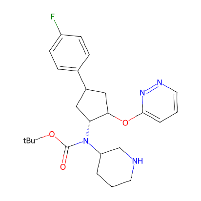 CC(C)(C)OC(=O)N(C1CCCNC1)[C@@H]1CC(c2ccc(F)cc2)CC1Oc1cccnn1